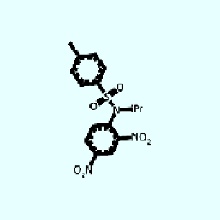 Cc1ccc(S(=O)(=O)N(c2ccc([N+](=O)[O-])cc2[N+](=O)[O-])C(C)C)cc1